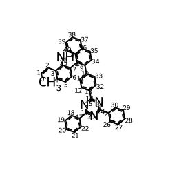 C/C=C\c1cccc(-c2c(-c3ccc(-c4nc(-c5ccccc5)nc(-c5ccccc5)n4)cc3)ccc3ccccc23)c1N